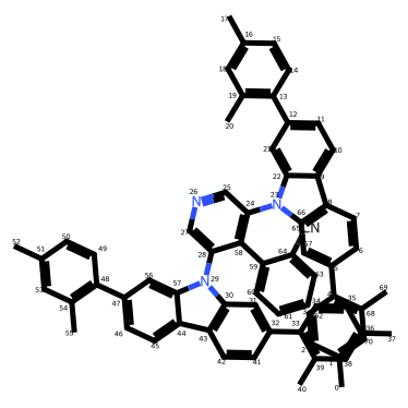 Cc1ccc(-c2ccc3c4ccc(-c5ccc(C)cc5C)cc4n(-c4cncc(-n5c6cc(-c7ccc(C)cc7C)ccc6c6ccc(-c7ccc(C)cc7C)cc65)c4-c4ccccc4C#N)c3c2)c(C)c1